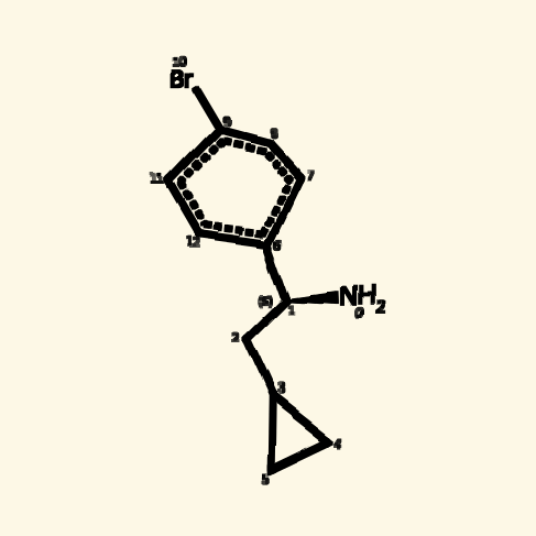 N[C@@H](CC1CC1)c1ccc(Br)cc1